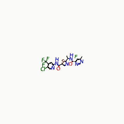 Cc1ncnc(C(=O)NC(C)c2ncc(C(=O)Nc3cc(C(F)(F)F)c(Cl)cn3)s2)c1F